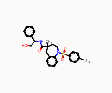 Cc1ccc(S(=O)(=O)N2CCC(C)(C(=O)N[C@@H](CO)c3ccccc3)Cc3ccccc32)cc1